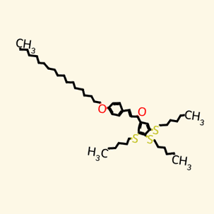 CCCCCCCCCCCCCCCCCCCOc1ccc(/C=C/C(=O)c2cc(SCCCCCC)c(SCCCCCC)c(SCCCCCC)c2)cc1